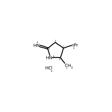 CCCC1CC(=N)NC1C.Cl